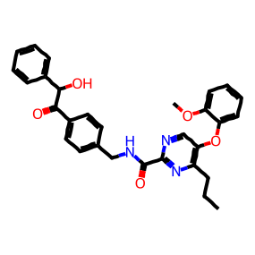 CCCc1nc(C(=O)NCc2ccc(C(=O)C(O)c3ccccc3)cc2)ncc1Oc1ccccc1OC